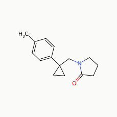 Cc1ccc(C2(CN3CCCC3=O)CC2)cc1